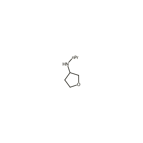 [CH2]CCNC1CCOC1